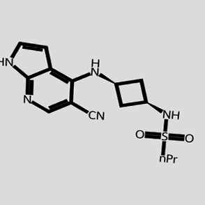 CCCS(=O)(=O)N[C@H]1C[C@@H](Nc2c(C#N)cnc3[nH]ccc23)C1